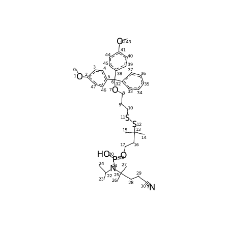 COc1ccc(C(OCCCSSC(C)(C)CCOP(O)N(C(C)C)C(C)(C)CCC#N)(c2ccccc2)c2ccc(OC)cc2)cc1